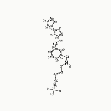 CN(CC=CC#CC(C)(C)C)Cc1cccc(OCc2cc(-c3ccsc3)cs2)c1